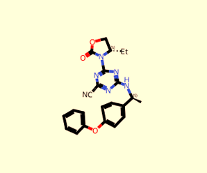 CC[C@H]1COC(=O)N1c1nc(C#N)nc(N[C@@H](C)c2ccc(Oc3ccccc3)cc2)n1